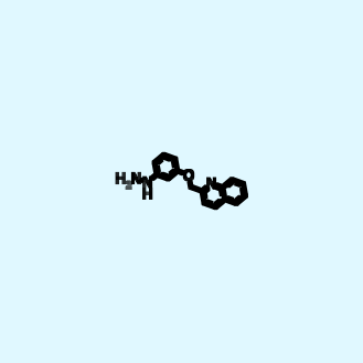 NNc1cccc(OCc2ccc3ccccc3n2)c1